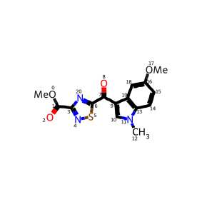 COC(=O)c1nsc(C(=O)c2cn(C)c3ccc(OC)cc23)n1